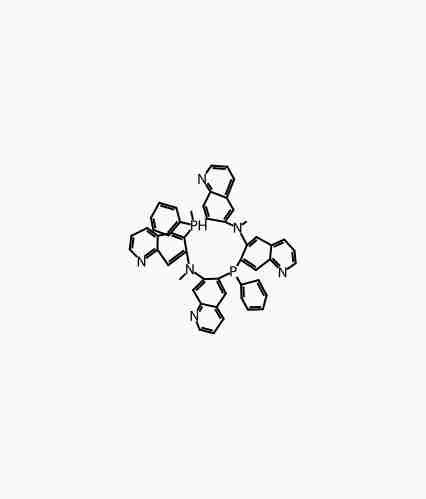 CN1c2cc3ncccc3cc2P(c2ccccc2)c2cc3ncccc3cc2N(C)c2cc3cccnc3cc2[PH](C)(c2ccccc2)c2cc3cccnc3cc21